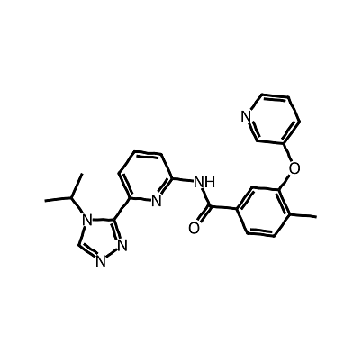 Cc1ccc(C(=O)Nc2cccc(-c3nncn3C(C)C)n2)cc1Oc1cccnc1